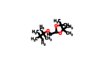 BC(C)(C)C(C)(C)OBB1OC(C)(C)C(C)(C)O1